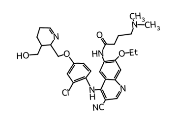 CCOc1cc2ncc(C#N)c(Nc3ccc(OCC4N=CCCC4CO)cc3Cl)c2cc1NC(=O)CCCN(C)C